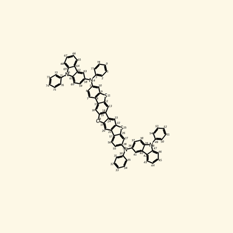 c1ccc(N(c2ccc3c(c2)sc2cc4c(cc23)oc2cc3c(cc24)sc2cc(N(c4ccccc4)c4ccc5c(c4)c4ccccc4n5-c4ccccc4)ccc23)c2ccc3c(c2)c2ccccc2n3-c2ccccc2)cc1